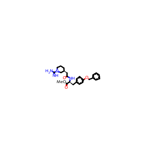 COC(=O)[C@H](Cc1ccc(OCc2ccccc2)cc1)NC(=O)C[C@@H]1CCCN(C(=N)N)C1